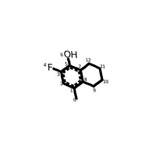 Cc1cc(F)c(O)c2c1CCCC2